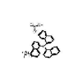 CCCCP.[H+].[H+].[O-]B([O-])O.c1ccc2c(P(c3cccc4ccccc34)c3cccc4ccccc34)cccc2c1